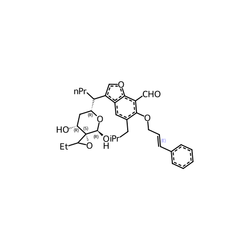 CCCC(c1coc2c(C=O)c(OC/C=C/c3ccccc3)c(CC(C)C)cc12)[C@H]1C[C@@H](O)[C@@]2(OC2CC)[C@H](O)O1